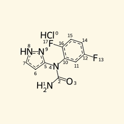 Cl.NC(=O)N(c1cc[nH]n1)c1cc(F)ccc1F